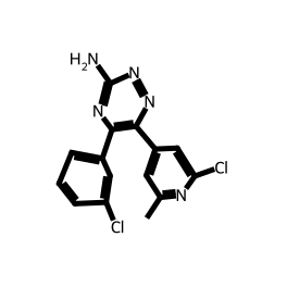 Cc1cc(-c2nnc(N)nc2-c2cccc(Cl)c2)cc(Cl)n1